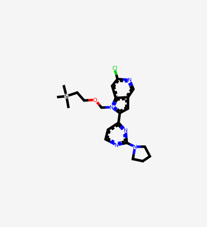 C[Si](C)(C)CCOCn1c(-c2ccnc(N3CCCC3)n2)cc2cnc(Cl)cc21